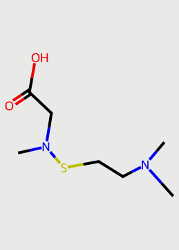 CN(C)CCSN(C)CC(=O)O